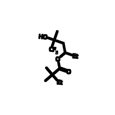 CCC(CC(C)(O)C(F)(F)F)OC(=O)C(C)(C)CC